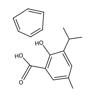 Cc1cc(C(=O)O)c(O)c(C(C)C)c1.c1ccccc1